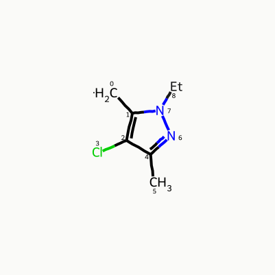 [CH2]c1c(Cl)c(C)nn1CC